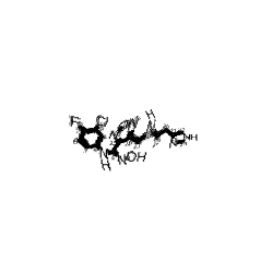 O/N=C(/Nc1ccc(F)c(Cl)c1)c1nonc1CNCCc1c[nH]cn1